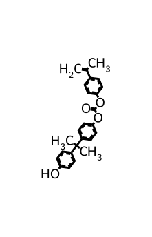 C=C(C)c1ccc(OC(=O)Oc2ccc(C(C)(C)c3ccc(O)cc3)cc2)cc1